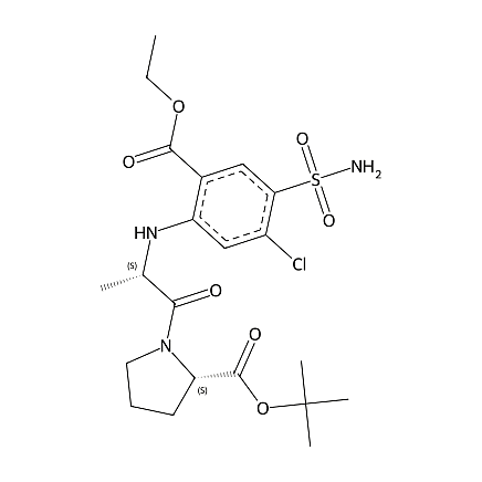 CCOC(=O)c1cc(S(N)(=O)=O)c(Cl)cc1N[C@@H](C)C(=O)N1CCC[C@H]1C(=O)OC(C)(C)C